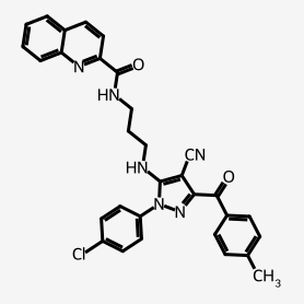 Cc1ccc(C(=O)c2nn(-c3ccc(Cl)cc3)c(NCCCNC(=O)c3ccc4ccccc4n3)c2C#N)cc1